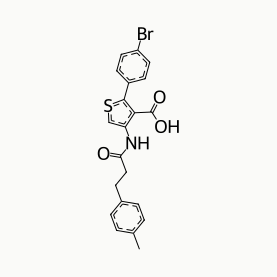 Cc1ccc(CCC(=O)Nc2csc(-c3ccc(Br)cc3)c2C(=O)O)cc1